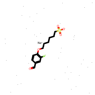 O=Cc1ccc(OCCCCCCS(=O)(=O)[O-])c(F)c1.[Na+]